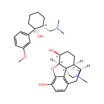 CN1CC[C@]23c4c5ccc(O)c4O[C@H]2[C@@H](O)CC[C@H]3[C@H]1C5.COc1cccc([C@@]2(O)CCCC[C@@H]2CN(C)C)c1